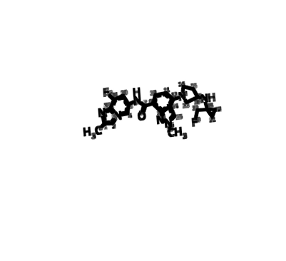 Cc1cn2cc(NC(=O)c3ccc(N4CC[C@@H](NC5(CF)CC5)C4)c4cn(C)nc34)cc(F)c2n1